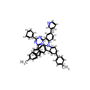 Cc1ccc(-c2ccc3c(c2)c2cc(-c4ccc(C)cc4)ccc2n3-c2ccc(-c3cccnc3)cc2-c2nc(-c3ccccc3)nc(-c3ccccc3)n2)cc1